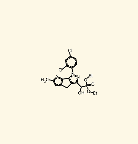 CCOP(=O)(OCC)C(O)c1nn(-c2ccc(Cl)cc2Cl)c2c1Cc1cc(C)sc1-2